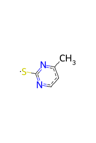 Cc1ccnc([S])n1